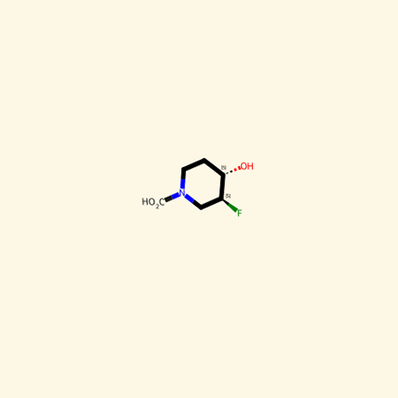 O=C(O)N1CC[C@H](O)[C@@H](F)C1